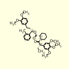 CC[C@H](C(=O)N1CCCC[C@H]1C(=O)O[C@@H](CCc1ccc(OC)c(OC)c1)c1ccccc1C)c1cc(OC)c(OC)c(OC)c1